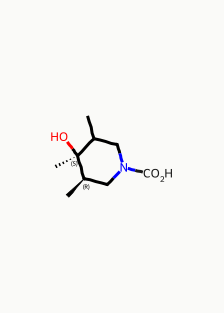 CC1CN(C(=O)O)C[C@@H](C)[C@@]1(C)O